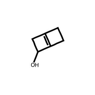 OC1CC2=C1CC2